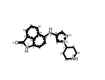 O=C1Nc2ccc(Nc3cnn(C4CCNCC4)c3)c3cccc1c23